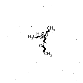 CC=CC(=O)OCC[Si](C)(OCCC)OCCC